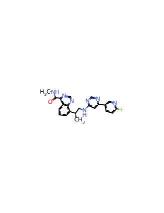 CNC(=O)c1ncnc2c([C@H](C)CNc3cc(-c4ccc(F)nc4)ncn3)cccc12